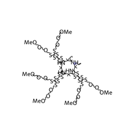 C=C=C1N/C(=C/C=C)C(C)(C)c2[nH]c(c3c2SC(=C2SC(SCCOCCOCCOC)=C(SCCOCCOCCOC)S2)S3)C(C)(C)c2[nH]c(c3c2SC(C2SC(SCCOCCOCCOC)=C(SCCOCCOCCOC)S2)S3)C(C)(C)c2[nH]c(c3c2SC(=C2SC(SCCOCCOCCOC)=C(SCCOCCOCCOC)S2)S3)C1(C)C